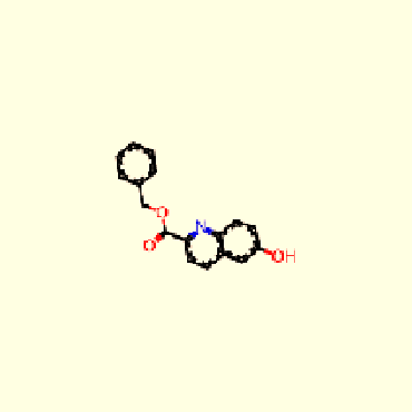 O=C(OCc1ccccc1)c1ccc2cc(O)ccc2n1